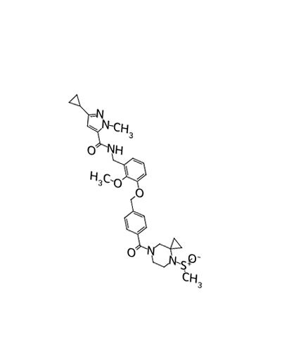 COc1c(CNC(=O)c2cc(C3CC3)nn2C)cccc1OCc1ccc(C(=O)N2CCN([S+](C)[O-])C3(CC3)C2)cc1